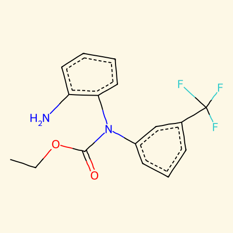 CCOC(=O)N(c1cccc(C(F)(F)F)c1)c1ccccc1N